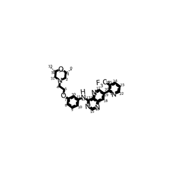 C[C@@H]1CN(CCOc2cccc(Nc3ncnc4cc(-c5ncccc5C(F)(F)F)cnc34)c2)C[C@H](C)O1